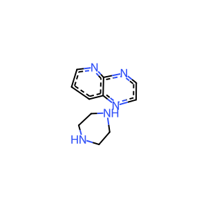 C1CNCCN1.c1cnc2nccnc2c1